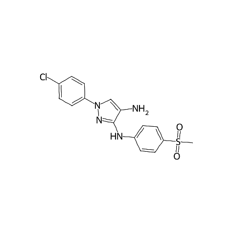 CS(=O)(=O)c1ccc(Nc2nn(-c3ccc(Cl)cc3)cc2N)cc1